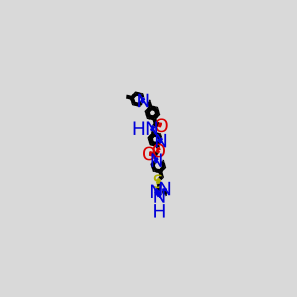 CC1CCN(Cc2ccc(C(=O)Nc3ccc(OC(=O)N4CCC(CSc5nc[nH]n5)CC4)nc3)cc2)CC1